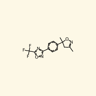 CC1=NOC(C)(c2ccc(-c3noc(C(F)(F)F)n3)cc2)C1